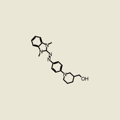 CN1c2ccccc2N(C)C1N=Nc1ccc(N2CCCC(CO)C2)cc1